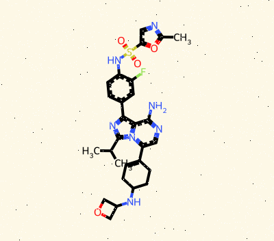 Cc1ncc(S(=O)(=O)Nc2ccc(-c3nc(C(C)C)n4c(C5=CCC(NC6COC6)CC5)cnc(N)c34)cc2F)o1